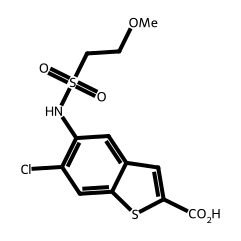 COCCS(=O)(=O)Nc1cc2cc(C(=O)O)sc2cc1Cl